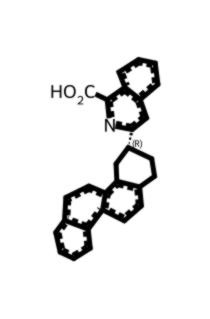 O=C(O)c1nc([C@@H]2CCc3ccc4c(ccc5ccccc54)c3C2)cc2ccccc12